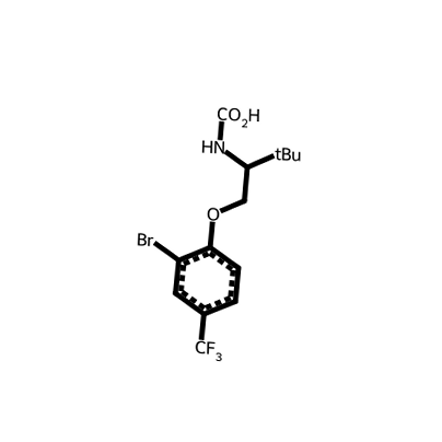 CC(C)(C)C(COc1ccc(C(F)(F)F)cc1Br)NC(=O)O